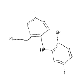 Cc1ccc(Pc2cc(C)ccc2O)c(CS)c1